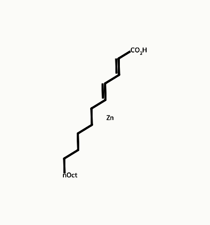 CCCCCCCCCCCCCC=CC=CC(=O)O.[Zn]